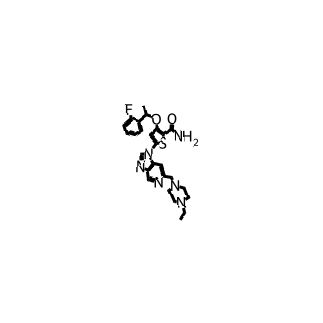 CCN1CCN(Cc2cc3c(cn2)ncn3-c2cc(OC(C)c3ccccc3F)c(C(N)=O)s2)CC1